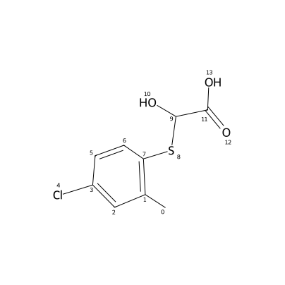 Cc1cc(Cl)ccc1SC(O)C(=O)O